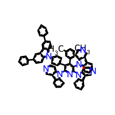 Cc1cc(C)cc(-c2c(-c3ccc(-n4c5ccc(-c6ccccc6)cc5c5cc(-c6ccccc6)ccc54)cc3)c(-n3c4ccccc4c4cnccc43)nc(-n3c4ccccc4c4cnccc43)c2-n2c3ccccc3c3cnccc32)c1